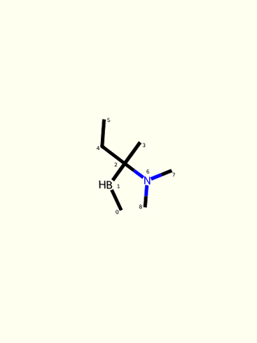 CBC(C)(CC)N(C)C